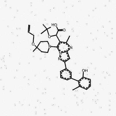 C=CCOC1(C)CCN(c2c(C(OC(C)(C)C)C(=O)O)c(C)nc3cc(-c4cccc(-c5c(C)cccc5O)c4)nn23)CC1